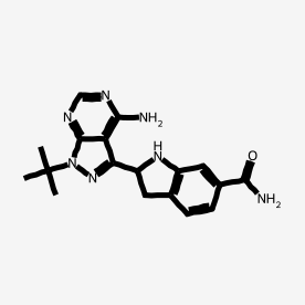 CC(C)(C)n1nc(C2Cc3ccc(C(N)=O)cc3N2)c2c(N)ncnc21